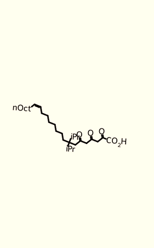 CCCCCCCC/C=C\CCCCCCCC(CC(=O)CC(=O)CC(=O)C(=O)O)(C(C)C)C(C)C